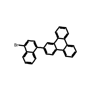 Brc1ccc(-c2ccc3c4ccccc4c4ccccc4c3c2)c2ccccc12